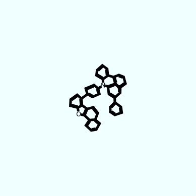 c1ccc(-c2cccc(N(c3ccc(-c4cccc5oc6c7ccccc7ccc6c45)cc3)c3ccccc3-c3ccccc3)c2)cc1